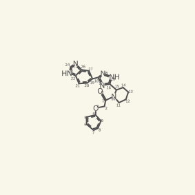 O=C(COc1ccccc1)N1CCCCC1c1nc(-c2ccc3[nH]cnc3c2)n[nH]1